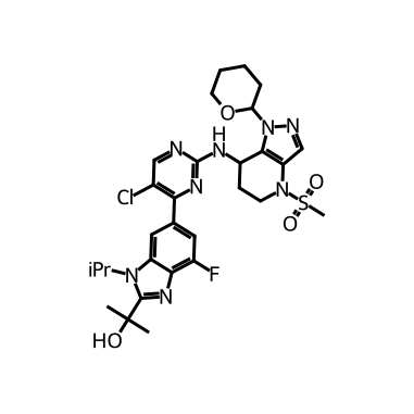 CC(C)n1c(C(C)(C)O)nc2c(F)cc(-c3nc(NC4CCN(S(C)(=O)=O)c5cnn(C6CCCCO6)c54)ncc3Cl)cc21